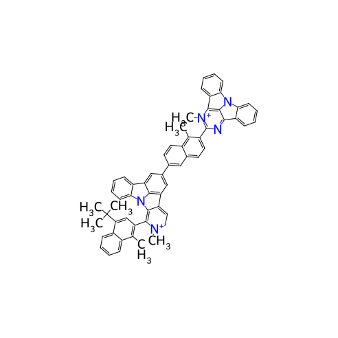 Cc1c(-c2nc3c4ccccc4n4c5ccccc5c(c34)[n+]2C)ccc2cc(-c3cc4c5ccccc5n5c6c(-c7cc(C(C)(C)C)c8ccccc8c7C)[n+](C)ccc6c(c3)c45)ccc12